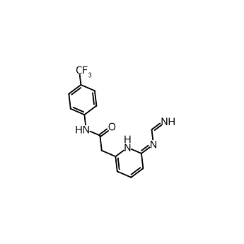 N=C/N=c1/cccc(CC(=O)Nc2ccc(C(F)(F)F)cc2)[nH]1